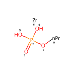 CCCOP(=O)(O)O.[Zr]